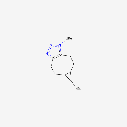 CC(C)(C)C1C2CCc3nnn(C(C)(C)C)c3CCC21